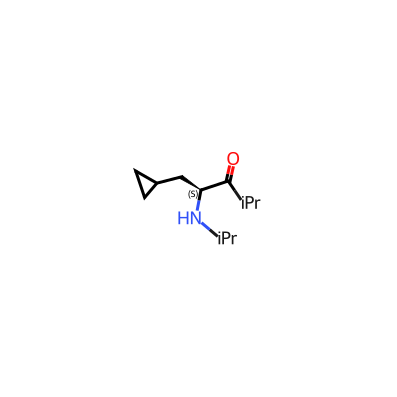 CC(C)N[C@@H](CC1CC1)C(=O)C(C)C